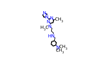 Cc1cc(N(C)CCCNCc2cccc(N(C)C)c2)nc(-n2ccnc2)n1